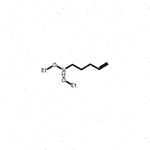 C=CCCC[SiH](OCC)OCC